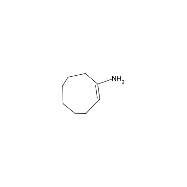 NC1=CCCCCCC1